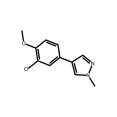 COc1ccc(-c2cnn(C)c2)cc1Cl